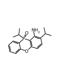 CC(C)c1ccc2c(c1N)P(=O)(C(C)C)c1ccccc1O2